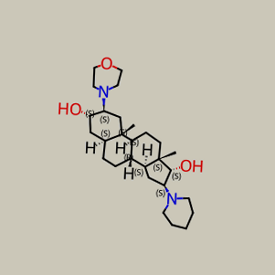 C[C@]12C[C@H](N3CCOCC3)[C@@H](O)C[C@@H]1CC[C@@H]1[C@@H]2CC[C@]2(C)[C@H](O)[C@@H](N3CCCCC3)C[C@@H]12